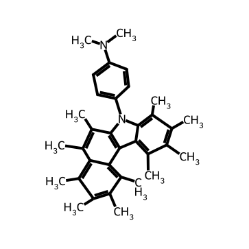 Cc1c(C)c(C)c2c(c1C)c(C)c(C)c1c2c2c(C)c(C)c(C)c(C)c2n1-c1ccc(N(C)C)cc1